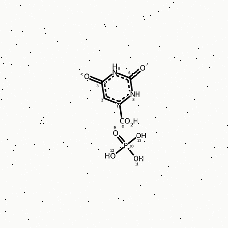 O=C(O)c1cc(=O)[nH]c(=O)[nH]1.O=P(O)(O)O